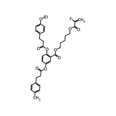 C=C(F)C(=O)OCCCCCOC(=O)c1cc(OC(=O)CCc2ccc(C)cc2)ccc1OC(=O)CCc1ccc(OCC)cc1